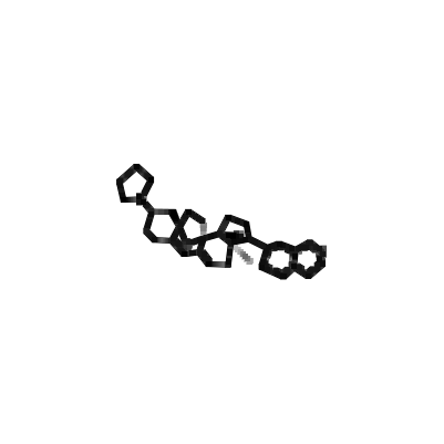 C[C@]12CC=C3C=C4CCC(N5CCCC5)C[C@]45CC[C@]3(O5)[C@@H]1CCC2c1ccc2ccncc2c1